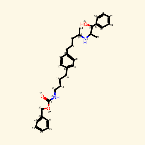 CC(N[C@H](C)CCCc1ccc(CCCCNC(=O)OCc2ccccc2)cc1)C(O)c1ccccc1